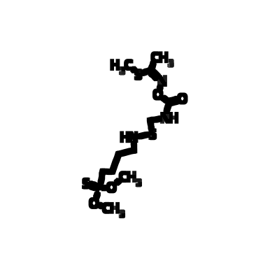 COP(=S)(CCCCNSCNC(=O)ON=C(C)SC)OC